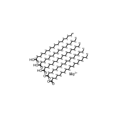 CCCCCCCCCCCCCCCCCC(=O)O.CCCCCCCCCCCCCCCCCC(=O)O.CCCCCCCCCCCCCCCCCC(=O)O.CCCCCCCCCCCCCCCCCC(=O)[O-].CCCCCCCCCCCCCCCCCC(=O)[O-].[Mg+2]